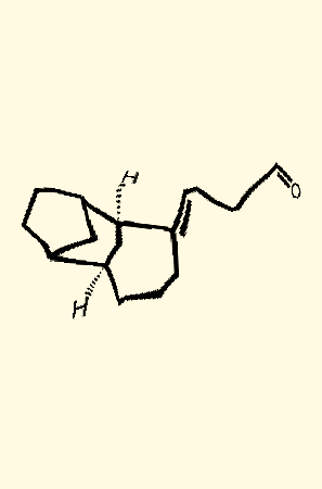 O=CC/C=C1\CC[C@H]2C3CCC(C3)[C@@H]12